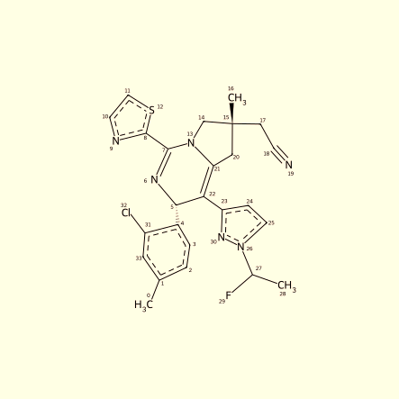 Cc1ccc([C@@H]2N=C(c3nccs3)N3C[C@](C)(CC#N)CC3=C2c2ccn(C(C)F)n2)c(Cl)c1